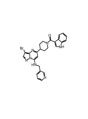 O=C(c1c[nH]c2ccccc12)N1CCC(c2cc(NCc3cccnc3)n3ncc(Br)c3n2)CC1